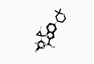 C[C@H]1C[C@]1(c1noc(=O)[nH]1)n1c(C(=O)O)cc2cc([C@H]3CCOC(C)(C)C3)ccc21